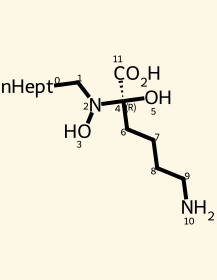 CCCCCCCCN(O)[C@@](O)(CCCCN)C(=O)O